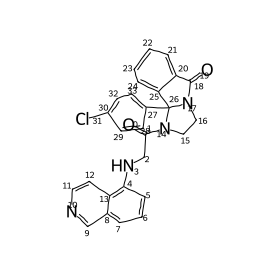 O=C(CNc1cccc2cnccc12)N1CCN2C(=O)c3ccccc3C12c1ccc(Cl)cc1